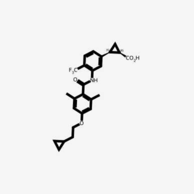 Cc1cc(OCCC2CC2)cc(C)c1C(=O)Nc1cc([C@H]2C[C@H]2C(=O)O)ccc1C(F)(F)F